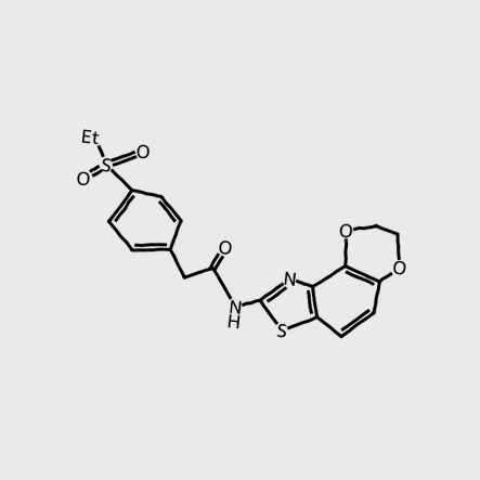 CCS(=O)(=O)c1ccc(CC(=O)Nc2nc3c4c(ccc3s2)OCCO4)cc1